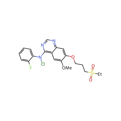 CCS(=O)(=O)CCCOc1cc2ncnc(N(Cl)c3ccccc3F)c2cc1OC